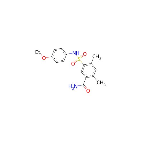 CCOc1ccc(NS(=O)(=O)c2cc(C(N)=O)c(C)cc2C)cc1